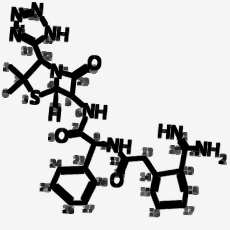 CC1(C)S[C@H]2C(NC(=O)C(NC(=O)Cc3ccccc3C(=N)N)c3ccccc3)C(=O)N2C1c1nnn[nH]1